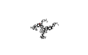 CCCC(=O)C1(c2ccccc2)CCN(C(=O)[C@H](Cc2ccc(OC)cc2)NC(=O)NCCc2c[nH]cn2)CC1.O=C(O)C(F)(F)F